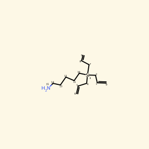 C=CC[Si](CC=C)(CC=C)CCCCCN